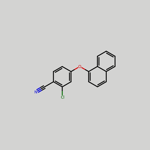 N#Cc1ccc(Oc2cccc3ccccc23)cc1Cl